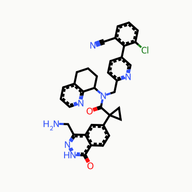 N#Cc1cccc(Cl)c1-c1ccc(CN(C(=O)C2(c3ccc4c(=O)[nH]nc(CN)c4c3)CC2)C2CCCc3cccnc32)nc1